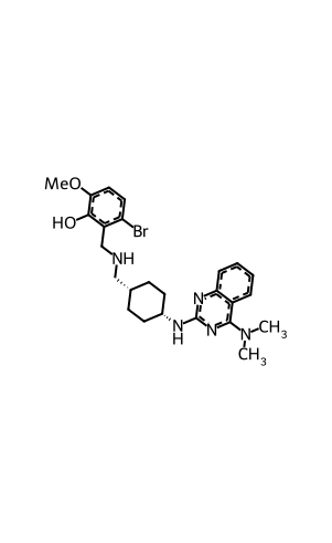 COc1ccc(Br)c(CNC[C@H]2CC[C@@H](Nc3nc(N(C)C)c4ccccc4n3)CC2)c1O